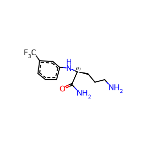 NCCC[C@H](Nc1cccc(C(F)(F)F)c1)C(N)=O